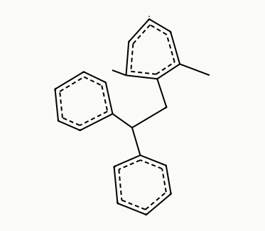 Cc1c[c]cc(C)c1CC(c1ccccc1)c1ccccc1